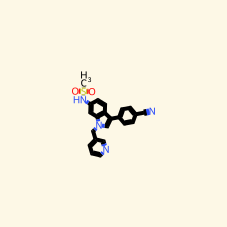 CS(=O)(=O)Nc1ccc2c(-c3ccc(C#N)cc3)cn(Cc3cccnc3)c2c1